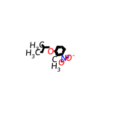 CCC(C)COc1cccc([N+](=O)[O-])c1C